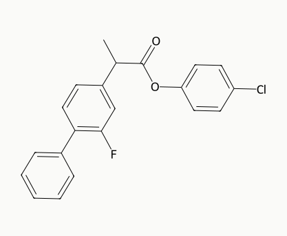 CC(C(=O)Oc1ccc(Cl)cc1)c1ccc(-c2ccccc2)c(F)c1